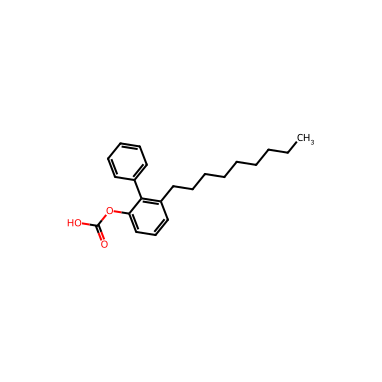 CCCCCCCCCc1cccc(OC(=O)O)c1-c1ccccc1